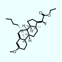 CCCC[C@H]1C=C2C=C(OC)CC[C@]2(C)[C@H]2CC[C@]3(C)C(=C(F)C(=O)OCC)CC[C@H]3[C@H]12